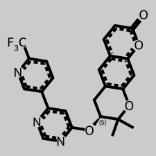 CC1(C)Oc2cc3oc(=O)ccc3cc2C[C@@H]1Oc1cc(-c2ccc(C(F)(F)F)nc2)ncn1